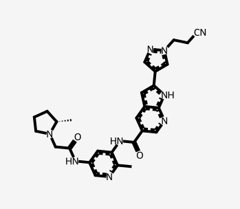 Cc1ncc(NC(=O)CN2CCC[C@@H]2C)cc1NC(=O)c1cnc2[nH]c(-c3cnn(CCC#N)c3)cc2c1